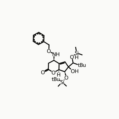 C[SiH](C)OC(C(C)(C)C)C1(O)C=C2[C@H](NOCc3ccccc3)CC(=O)O[C@@H]2[C@@H]1O[Si](C)(C)C(C)(C)C